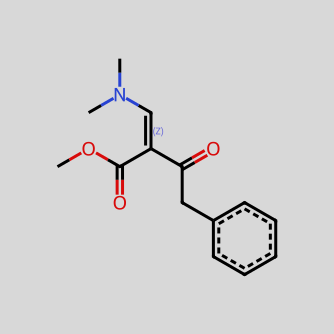 COC(=O)/C(=C\N(C)C)C(=O)Cc1ccccc1